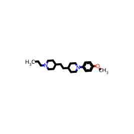 CCCN1CCC(CCC2CCN(c3ccc(OC)cc3)CC2)CC1